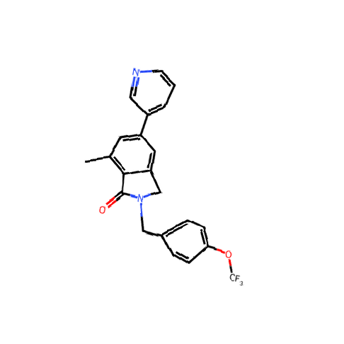 Cc1cc(-c2cccnc2)cc2c1C(=O)N(Cc1ccc(OC(F)(F)F)cc1)C2